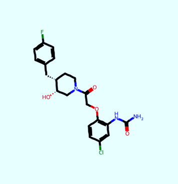 NC(=O)Nc1cc(Cl)ccc1OCC(=O)N1CC[C@@H](Cc2ccc(F)cc2)[C@@H](O)C1